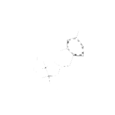 CC1(C)OB(Cc2ccc(F)cc2F)OC1(C)C